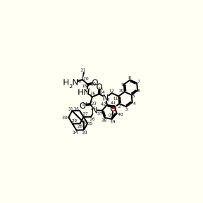 COc1ccc2ccccc2c1CN1C(=O)C(NC(=O)[C@H](C)N)C(=O)N(CC23CC4CC(CC(C4)C2)C3)c2ccccc21